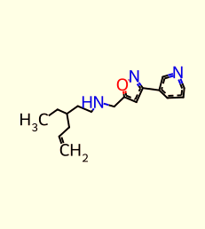 C=CCC(CC)CCNCc1cc(-c2cccnc2)no1